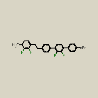 CCCc1ccc(-c2ccc(-c3ccc(CCC4=CCC(C)C(F)=C4F)cc3)c(F)c2F)cc1